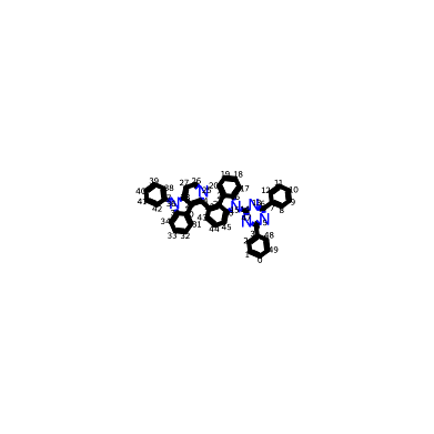 c1ccc(-c2nc(-c3ccccc3)nc(-n3c4ccccc4c4c(-c5nccc6c5c5ccccc5n6-c5ccccc5)cccc43)n2)cc1